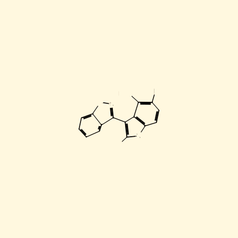 CC1=C(c2nsc3ccccc23)c2c(ccc(F)c2C)[N]1